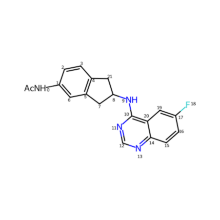 CC(=O)Nc1ccc2c(c1)CC(Nc1ncnc3ccc(F)cc13)C2